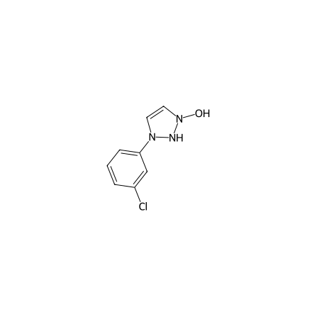 ON1C=CN(c2cccc(Cl)c2)N1